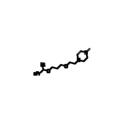 CCCC(CC)OCCCOCCN1CCN(C)CC1